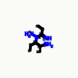 CCC(=N)N(N)C(CC)[C@H](C)N